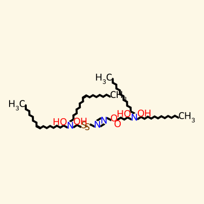 CCCCCCCC/C=C\CCCCCCC(O)CN(CCCSSCCN1CCN(CCOC(=O)CCCCN(CC(O)CCCCCCCCCCCC)CC(O)CCCCCCCCCCCC)CC1)CC(O)CCCCCC/C=C\CCCCCCCC